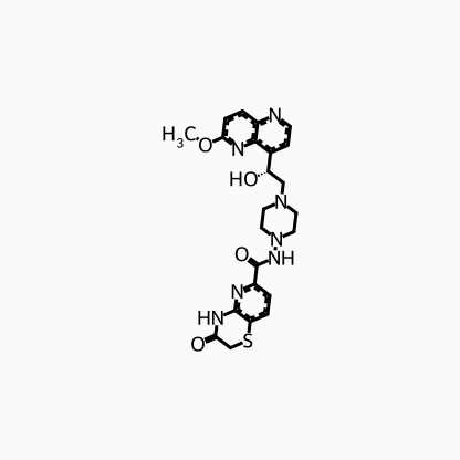 COc1ccc2nccc([C@@H](O)CN3CCN(NC(=O)c4ccc5c(n4)NC(=O)CS5)CC3)c2n1